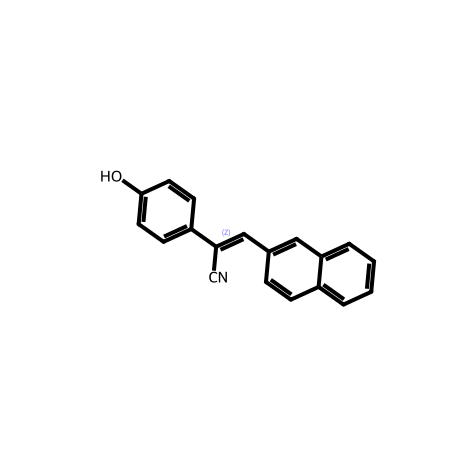 N#C/C(=C\c1ccc2ccccc2c1)c1ccc(O)cc1